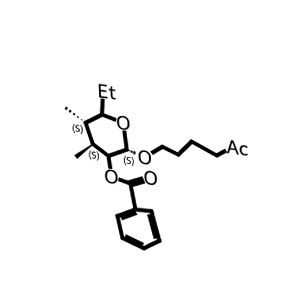 CCC1O[C@H](OCCCCC(C)=O)C(OC(=O)c2ccccc2)[C@@H](C)[C@@H]1C